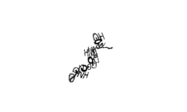 CCCCc1cc(NC(=O)Nc2ccc(Oc3ccnc(NC(=O)COC)c3)c(Cl)c2Cl)n(-c2ccc(O)cc2)n1